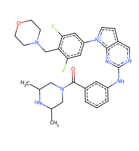 CC1CN(C(=O)c2cccc(Nc3ncc4ccn(-c5cc(F)c(CN6CCOCC6)c(F)c5)c4n3)c2)CC(C)N1